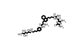 N=C(NCCCCc1ccc(C[C@H](N)C(=O)Nc2ccc(CCCNC[C@H](O)C[C@H](O)[C@H](O)CO)cc2)c2c1CCCC2)NC(=O)c1nc(Cl)c(N)nc1N